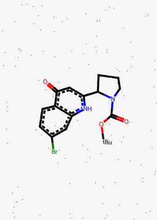 CC(C)(C)OC(=O)N1CCCC1c1cc(=O)c2ccc(Br)cc2[nH]1